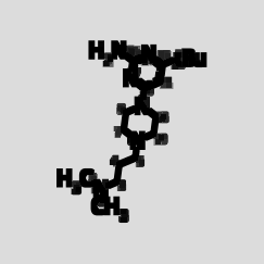 CN(C)CCCN1CCN(c2cc(C(C)(C)C)nc(N)n2)CC1